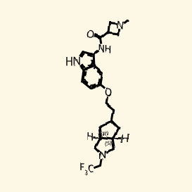 CN1CC(C(=O)Nc2c[nH]c3ccc(OCCC4C[C@@H]5CN(CC(F)(F)F)C[C@@H]5C4)cc23)C1